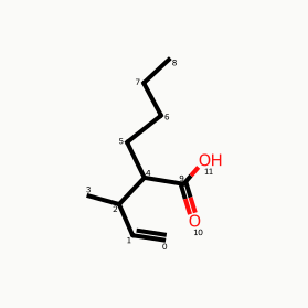 C=CC(C)C(CCCC)C(=O)O